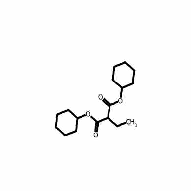 CCC(C(=O)OC1CCCCC1)C(=O)OC1CCCCC1